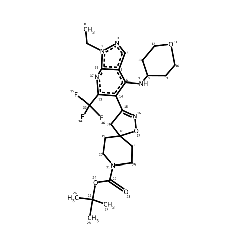 CCn1ncc2c(NC3CCOCC3)c(C3=NOC4(CCN(C(=O)OC(C)(C)C)CC4)C3)c(C(F)(F)F)nc21